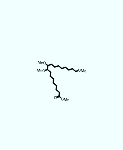 COCCCCCCCCC(OC)C(CCCCCCCC(=O)OC)OC